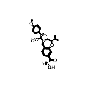 COc1ccc(NC(O)N2Cc3ccc(C(=O)NO)cc3O[C@H](C(C)C)C2)cc1